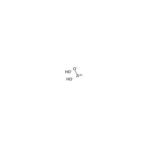 [O-][Zr+3].[OH-].[OH-]